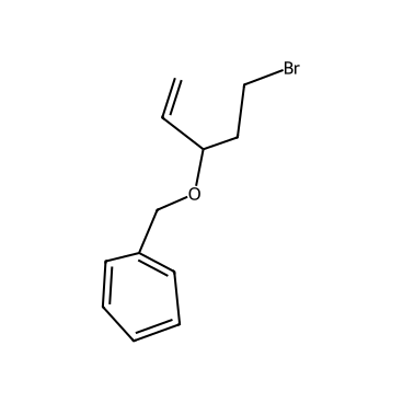 C=CC(CCBr)OCc1ccccc1